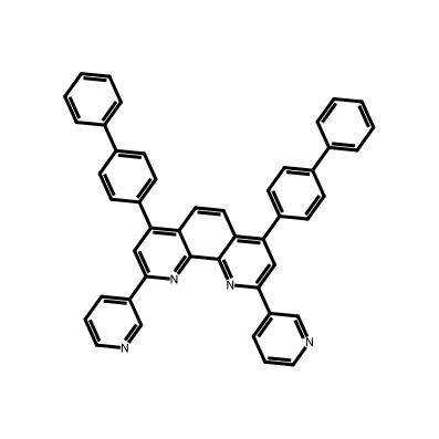 c1ccc(-c2ccc(-c3cc(-c4cccnc4)nc4c3ccc3c(-c5ccc(-c6ccccc6)cc5)cc(-c5cccnc5)nc34)cc2)cc1